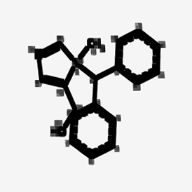 C[N+]1(C(c2ccccc2)c2ccccc2)C=NC=C1CO